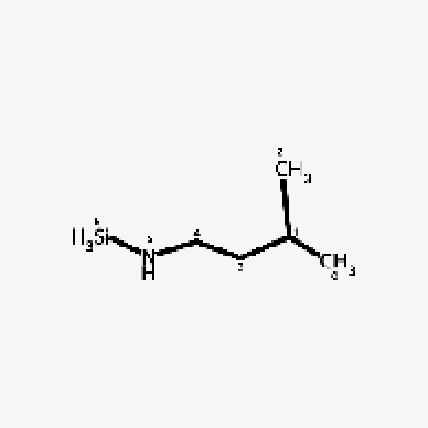 CC(C)CCN[SiH3]